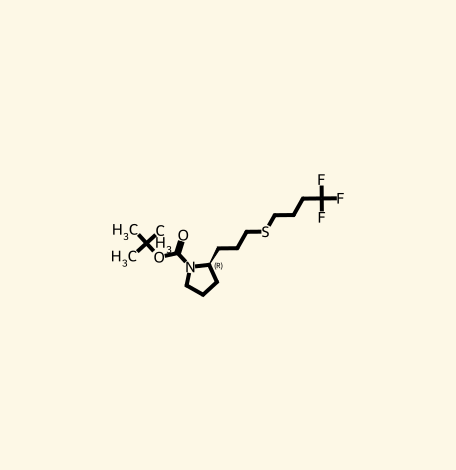 CC(C)(C)OC(=O)N1CCC[C@@H]1CCCSCCCC(F)(F)F